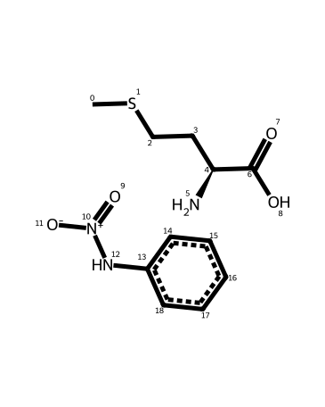 CSCC[C@H](N)C(=O)O.O=[N+]([O-])Nc1ccccc1